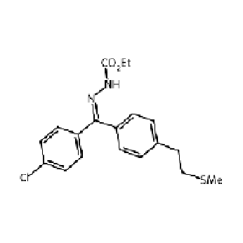 CCOC(=O)NN=C(c1ccc(Cl)cc1)c1ccc(CCSC)cc1